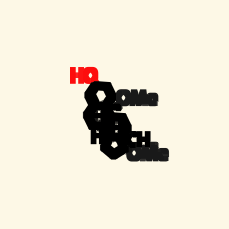 COC[C@]12CCC(O)C=C1CC[C@@H]1[C@@H]2CC[C@]2(C)[C@@H](OC)CC[C@@H]12